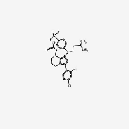 CC(C)CC[C@@H](c1ccc(C(F)(F)F)cc1)n1cc(-c2ccc(Cl)cc2Cl)c2c1[C@H](CC(=O)O)CCC2